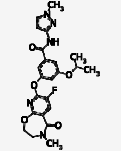 CC(C)Oc1cc(Oc2nc3c(cc2F)C(=O)N(C)CCO3)cc(C(=O)Nc2ccn(C)n2)c1